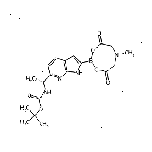 C[C@@H](NC(=O)OC(C)(C)C)c1ccc2cc(B3OC(=O)CN(C)CC(=O)O3)[nH]c2n1